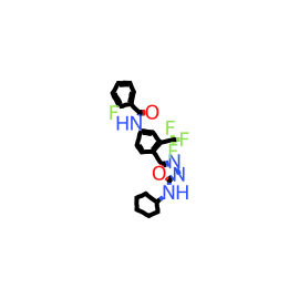 O=C(Nc1ccc(-c2nnc(NC3CCCCC3)o2)c(C(F)(F)F)c1)c1ccccc1F